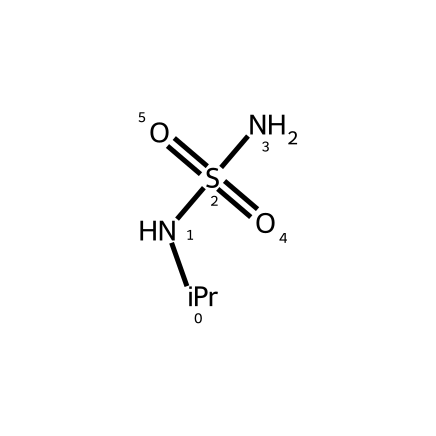 CC(C)NS(N)(=O)=O